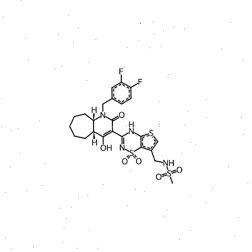 CS(=O)(=O)NCc1csc2c1S(=O)(=O)N=C(C1=C(O)[C@@H]3CCCCC[C@@H]3N(Cc3ccc(F)c(F)c3)C1=O)N2